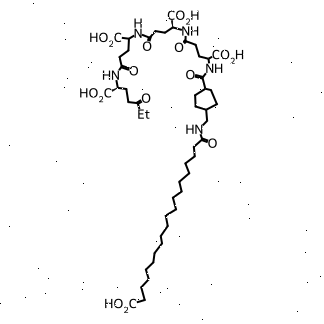 CCC(=O)CC[C@H](NC(=O)CCC(NC(=O)CC[C@H](NC(=O)CCC(NC(=O)C1CCC(CNC(=O)CCCCCCCCCCCCCCCCCCC(=O)O)CC1)C(=O)O)C(=O)O)C(=O)O)C(=O)O